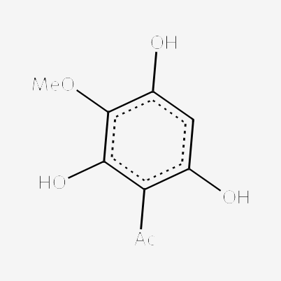 COc1c(O)cc(O)c(C(C)=O)c1O